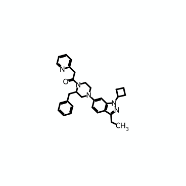 CCc1nn(C2CCC2)c2cc(N3CCN(C(=O)Cc4ccccn4)C(Cc4ccccc4)C3)ccc12